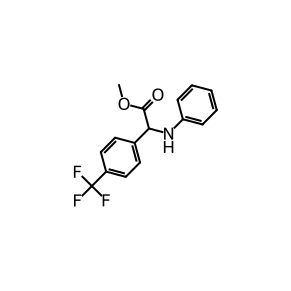 COC(=O)C(Nc1ccccc1)c1ccc(C(F)(F)F)cc1